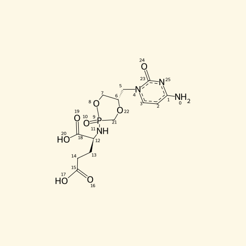 Nc1ccn(C[C@H]2COP(=O)(N[C@@H](CCC(=O)O)C(=O)O)CO2)c(=O)n1